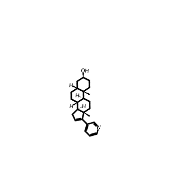 C[C@]12CC[C@H](O)C[C@H]1CC[C@@H]1[C@@H]2CC[C@]2(C)C(c3cccnc3)=CC[C@@H]12